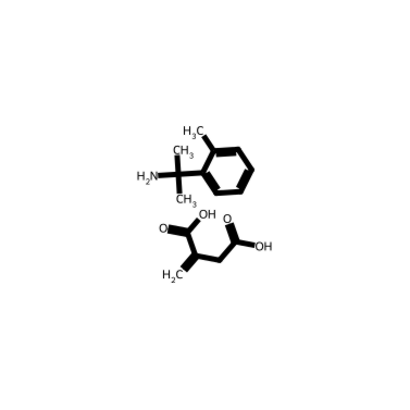 C=C(CC(=O)O)C(=O)O.Cc1ccccc1C(C)(C)N